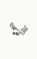 CCc1c(F)cnc2ccc(=O)n(CCN3CCC(NCc4cc5c(nn4)OCCO5)CC3)c12.Cl.Cl